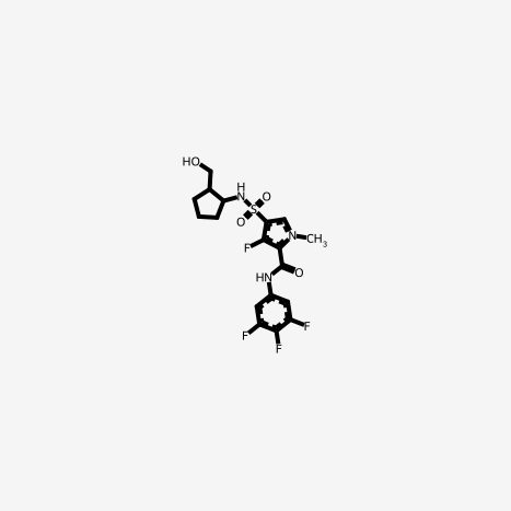 Cn1cc(S(=O)(=O)NC2CCCC2CO)c(F)c1C(=O)Nc1cc(F)c(F)c(F)c1